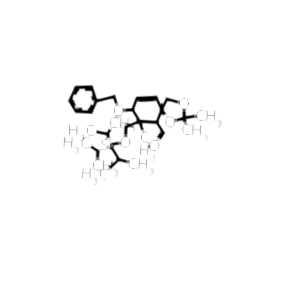 CC(C)[Si](OCC1(C)C(OCc2ccccc2)C=CC2(COC(C)(C)O2)C1C=O)(C(C)C)C(C)C